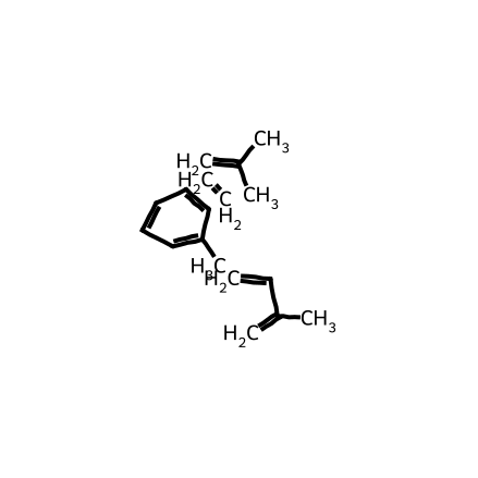 C=C.C=C(C)C.C=CC(=C)C.Cc1ccccc1